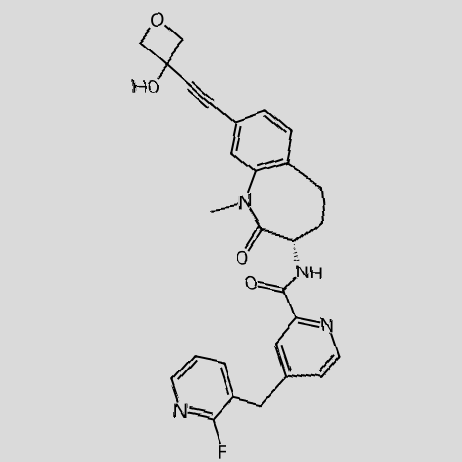 CN1C(=O)[C@@H](NC(=O)c2cc(Cc3cccnc3F)ccn2)CCc2ccc(C#CC3(O)COC3)cc21